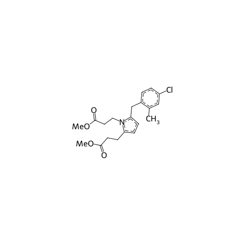 COC(=O)CCc1ccc(Cc2ccc(Cl)cc2C)n1CCC(=O)OC